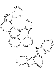 c1cc(-c2ccccc2-n2c3ccccc3c3ccc4oc5ccccc5c4c32)cc(-n2c3ccccc3c3ccc4oc5ccccc5c4c32)c1